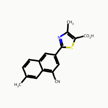 Cc1ccc2cc(-c3nc(C)c(C(=O)O)s3)cc(C#N)c2c1